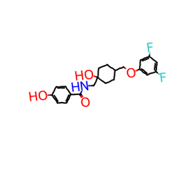 O=C(NCC1(O)CCC(COc2cc(F)cc(F)c2)CC1)c1ccc(O)cc1